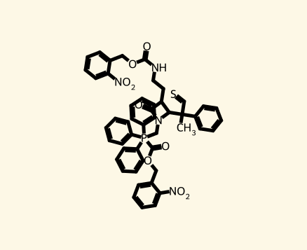 CC(C=S)(c1ccccc1)C1C(CCNC(=O)OCc2ccccc2[N+](=O)[O-])C(=O)N1CP(C(=O)OCc1ccccc1[N+](=O)[O-])(c1ccccc1)(c1ccccc1)c1ccccc1